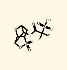 O=C(OC1C2CC3C(O2)C1OS3(=O)=O)C(F)(F)S(=O)(=O)O